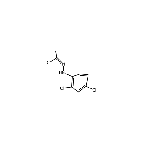 C/C(Cl)=N/Nc1ccc(Cl)cc1Cl